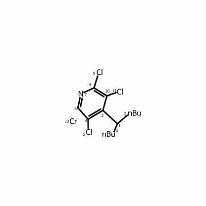 CCCCC(CCCC)c1c(Cl)cnc(Cl)c1Cl.[Cr]